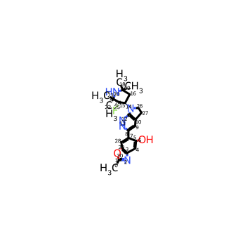 Cc1nc2cc(O)c(-c3cc4c(nn3)N([C@H]3CC(C)(C)NC(C)(C)[C@H]3F)CC4)cc2o1